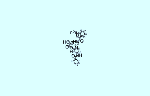 CCCn1nc(C(=O)NCCN2CCC(NC(=O)c3ccccc3)CC2)c2ccccc21.O=C(O)C(=O)O